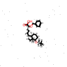 C[C@H](CC[C@H](OCc1ccccc1)C(=O)O)[C@H]1CC[C@H]2[C@@H](O[Si](C)(C)C(C)(C)C)CCC[C@]12C